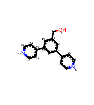 OCc1cc(-c2ccncc2)cc(-c2ccncc2)c1